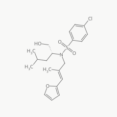 C/C(=C\c1ccco1)CN([C@@H](CO)CC(C)C)S(=O)(=O)c1ccc(Cl)cc1